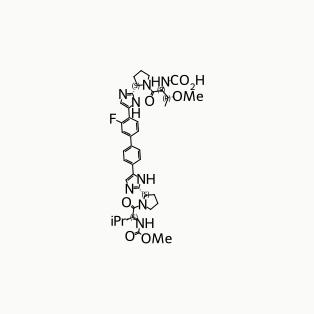 COC(=O)N[C@H](C(=O)N1CCC[C@H]1c1ncc(-c2ccc(-c3ccc(-c4cnc([C@@H]5CCCN5C(=O)[C@@H](NC(=O)O)[C@@H](C)OC)[nH]4)c(F)c3)cc2)[nH]1)C(C)C